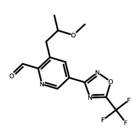 COC(C)Cc1cc(-c2noc(C(F)(F)F)n2)cnc1C=O